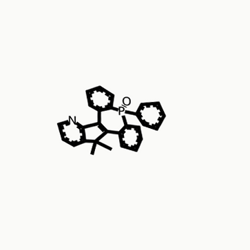 CC1(C)C2=C(c3ccccc3P(=O)(c3ccccc3)c3ccccc32)c2ncccc21